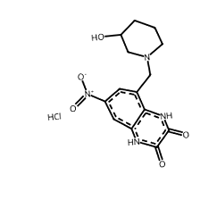 Cl.O=c1[nH]c2cc([N+](=O)[O-])cc(CN3CCCC(O)C3)c2[nH]c1=O